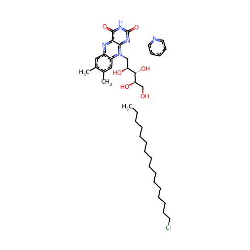 CCCCCCCCCCCCCCCCCl.Cc1cc2nc3c(=O)[nH]c(=O)nc-3n(C[C@H](O)[C@H](O)[C@H](O)CO)c2cc1C.c1ccncc1